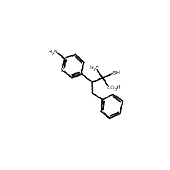 CC(S)(C(=O)O)C(Cc1ccccc1)c1ccc(N)nc1